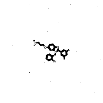 Cc1cc(C)cc(-c2nc3ccc(OCCCN(C)C)cc3n2Cc2ccccc2Br)c1